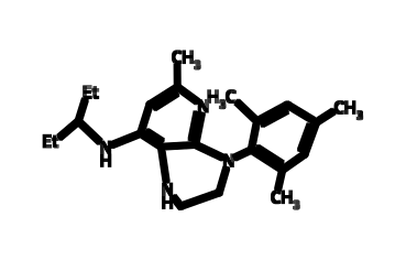 CCC(CC)Nc1cc(C)nc2c1NCCN2c1c(C)cc(C)cc1C